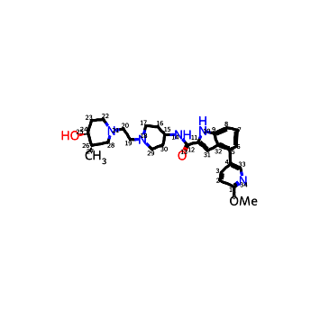 COc1ccc(-c2cccc3[nH]c(C(=O)NC4CCN(CCN5CC[C@H](O)[C@@H](C)C5)CC4)cc23)cn1